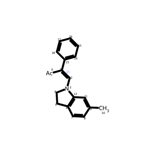 CC(=O)/C(=C\N1CCc2ccc(C)cc21)c1ccccc1